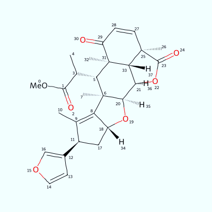 COC(=O)C(C)[C@H]1[C@]2(C)C3=C(C)[C@H](c4ccoc4)C[C@H]3O[C@@H]2[C@@H]2OC(=O)[C@]3(C)C=CC(=O)[C@@]1(C)[C@@H]23